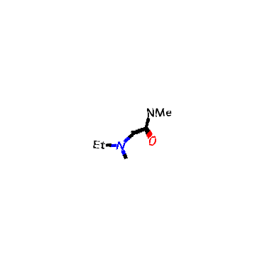 CCN(C)CC(=O)NC